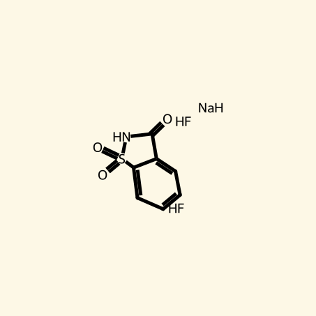 F.F.O=C1NS(=O)(=O)c2ccccc21.[NaH]